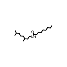 CCCCCCCCC(=O)NCCC(C)CCCC(C)C